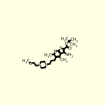 COCCN1CCN(CCCc2c(C)nc3sc(C(=O)OC(C)(C)C)c(N)c3c2C)CC1